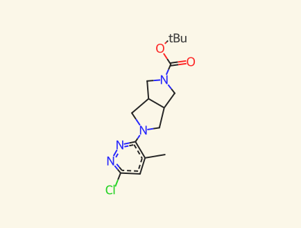 Cc1cc(Cl)nnc1N1CC2CN(C(=O)OC(C)(C)C)CC2C1